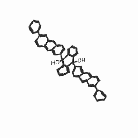 OC1(c2ccc3cc4cc(-c5ccccc5)ccc4cc3c2)c2ccccc2C(O)(c2ccc3cc4cc(-c5ccccc5)ccc4cc3c2)c2ccccc21